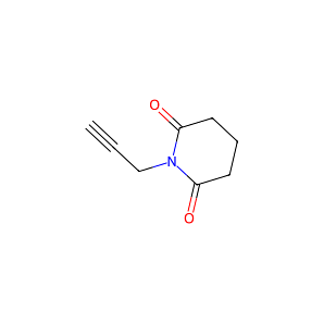 C#CCN1C(=O)CCCC1=O